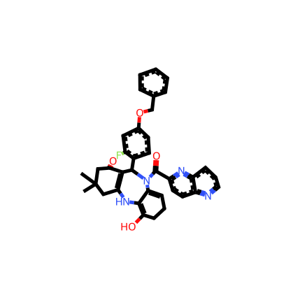 CC1(C)CC(=O)C2=C(C1)NC1=C(O)CCC=C1N(C(=O)c1ccc3ncccc3n1)C2c1ccc(OCc2ccccc2)cc1F